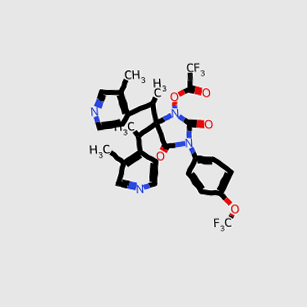 Cc1cnccc1C(C)C1(C(C)c2ccncc2C)C(=O)N(c2ccc(OC(F)(F)F)cc2)C(=O)N1OC(=O)C(F)(F)F